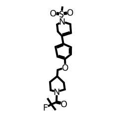 CC(C)(F)C(=O)N1CCC(COc2ccc(C3=CCN(S(C)(=O)=O)CC3)cc2)CC1